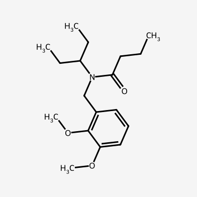 CCCC(=O)N(Cc1cccc(OC)c1OC)C(CC)CC